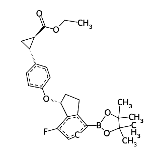 CCOC(=O)[C@@H]1C[C@H]1c1ccc(O[C@@H]2CCc3c(B4OC(C)(C)C(C)(C)O4)ccc(F)c32)cc1